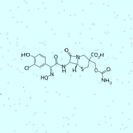 NC(=O)OCC1(C(=O)O)CS[C@@H]2C(NC(=O)C(=NO)c3ccc(O)c(Cl)c3)C(=O)N2C1